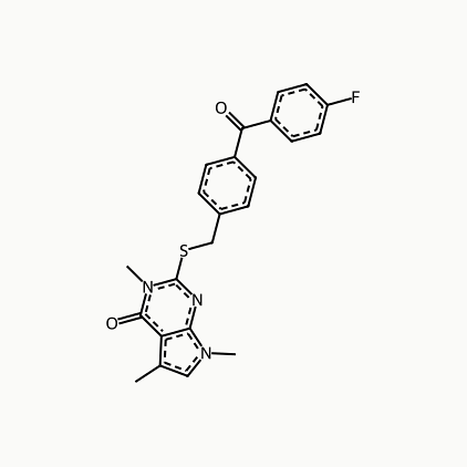 Cc1cn(C)c2nc(SCc3ccc(C(=O)c4ccc(F)cc4)cc3)n(C)c(=O)c12